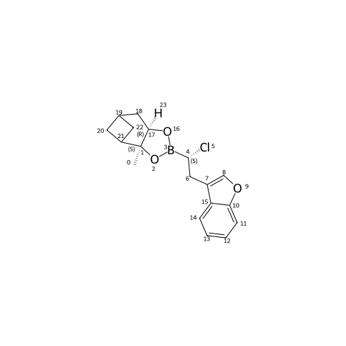 C[C@@]12OB([C@H](Cl)Cc3coc4ccccc34)O[C@@H]1CC1CC2C1